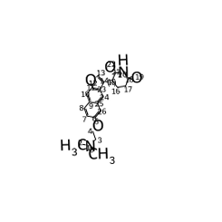 CN(C)CCOc1ccc2cc3occ([C@H]4CCC(=O)NC4=O)c3cc2c1